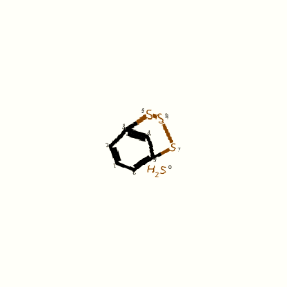 S.c1cc2cc(c1)SSS2